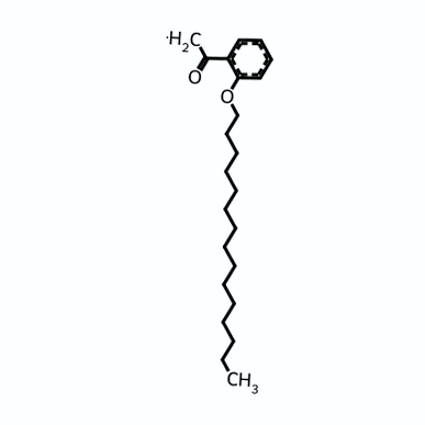 [CH2]C(=O)c1ccccc1OCCCCCCCCCCCCCCC